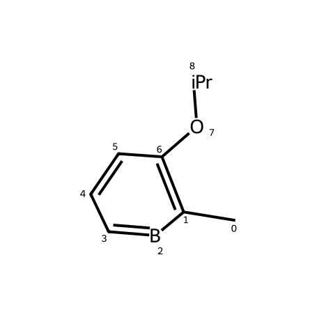 Cc1bcccc1OC(C)C